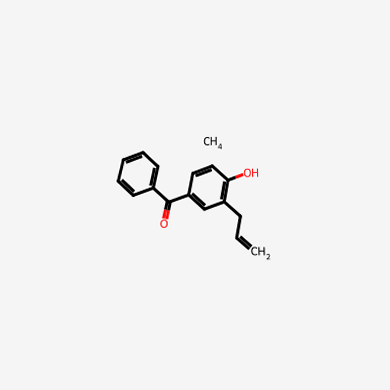 C.C=CCc1cc(C(=O)c2ccccc2)ccc1O